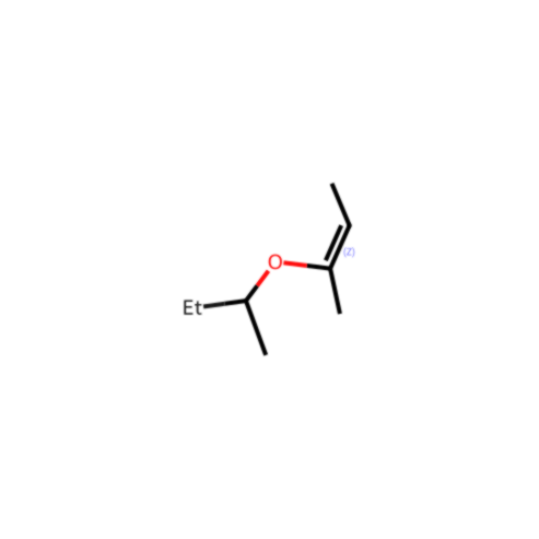 C/C=C(/C)OC(C)CC